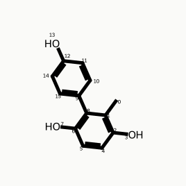 Cc1c(O)ccc(O)c1-c1ccc(O)cc1